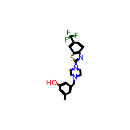 Cc1cc(O)cc(CN2CCN(c3nc4ccc(C(F)(F)F)cc4s3)CC2)c1